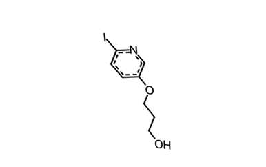 OCCCOc1ccc(I)nc1